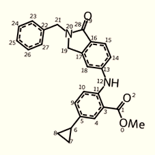 COC(=O)c1cc(C2CC2)ccc1Nc1ccc2c(c1)CN(Cc1ccccc1)C2=O